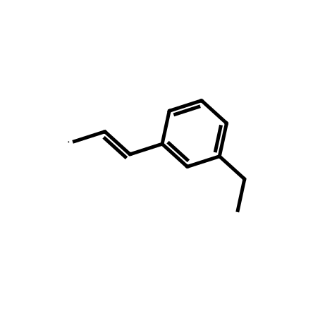 [CH2]/C=C/c1cccc(CC)c1